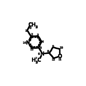 CCc1ccc(N(C)C2CCOC2)cn1